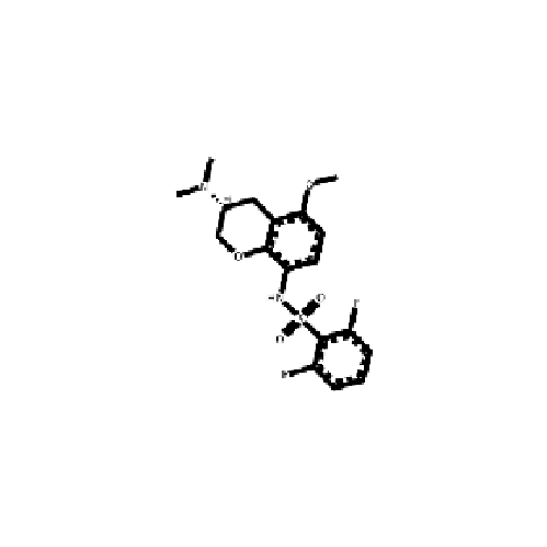 COc1ccc(NS(=O)(=O)c2c(F)cccc2F)c2c1C[C@@H](N(C)C)CO2